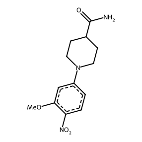 COc1cc(N2CCC(C(N)=O)CC2)ccc1[N+](=O)[O-]